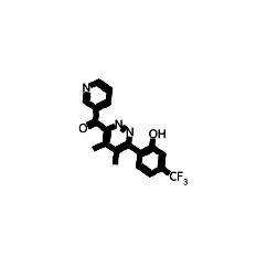 Cc1c(C(=O)c2cccnc2)nnc(-c2ccc(C(F)(F)F)cc2O)c1C